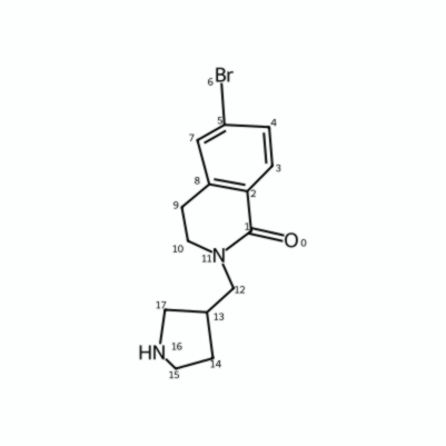 O=C1c2ccc(Br)cc2CCN1CC1CCNC1